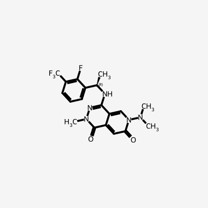 C[C@@H](Nc1nn(C)c(=O)c2cc(=O)n(N(C)C)cc12)c1cccc(C(F)(F)F)c1F